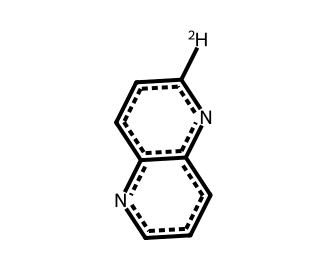 [2H]c1ccc2ncccc2n1